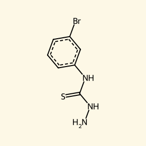 NNC(=S)Nc1cccc(Br)c1